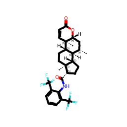 C[C@H]1C[C@H]2OC(=O)C=C[C@]2(C)[C@H]2CC[C@]3(C)[C@@H](C(=O)Nc4c(C(F)(F)F)cccc4C(F)(F)F)CC[C@H]3[C@H]12